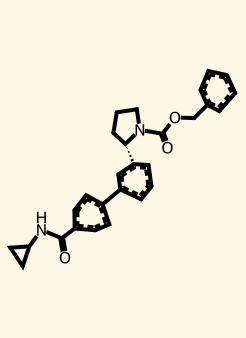 O=C(NC1CC1)c1ccc(-c2cccc([C@@H]3CCCN3C(=O)OCc3ccccc3)c2)cc1